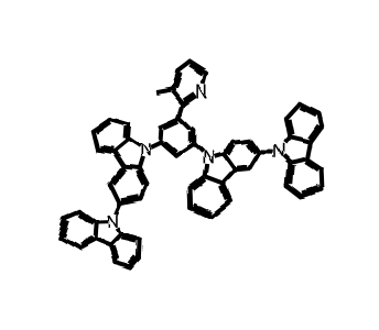 Cc1cccnc1-c1cc(-n2c3ccccc3c3cc(-n4c5ccccc5c5ccccc54)ccc32)cc(-n2c3ccccc3c3cc(-n4c5ccccc5c5ccccc54)ccc32)c1